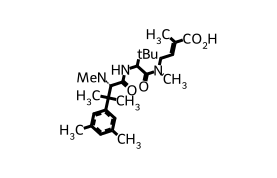 CN[C@H](C(=O)NC(C(=O)N(C)C/C=C(\C)C(=O)O)C(C)(C)C)C(C)(C)c1cc(C)cc(C)c1